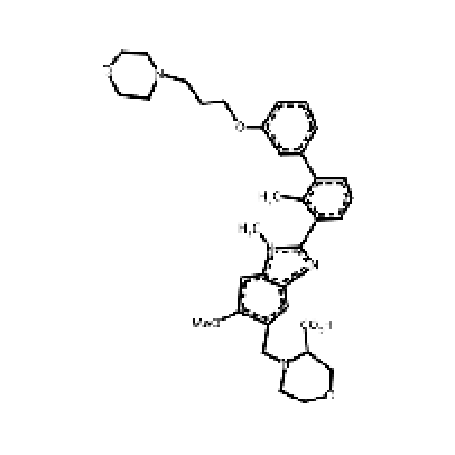 COc1cc2c(cc1CN1CCOCC1C(=O)O)nc(-c1cccc(-c3cccc(OCCCN4CCOCC4)c3)c1C)n2C